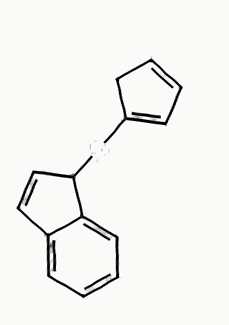 C1=CC[C]([Co][CH]2C=Cc3ccccc32)=C1